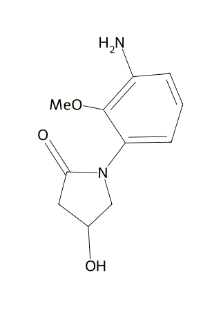 COc1c(N)cccc1N1CC(O)CC1=O